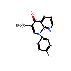 CCOC(=O)c1cn(-c2ccc(Br)cc2)c2ncccc2c1=O